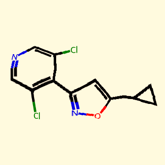 Clc1cncc(Cl)c1-c1cc(C2CC2)on1